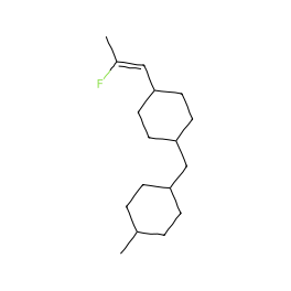 C/C(F)=C/C1CCC(CC2CCC(C)CC2)CC1